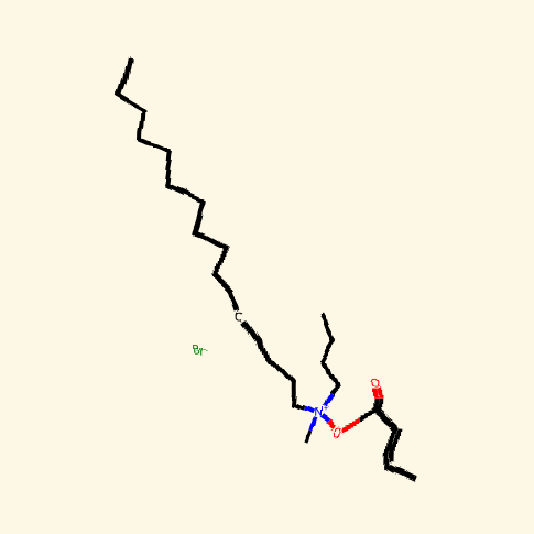 CC=CC(=O)O[N+](C)(CCCC)CCCCCCCCCCCCCCCC.[Br-]